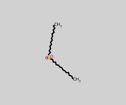 CCCCCCCCCCCCCCCCS(=O)(=O)CCCCCCCCCCCCCCCC